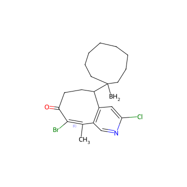 BC1(C2CCC(=O)/C(Br)=C(/C)c3cnc(Cl)cc32)CCCCCCCC1